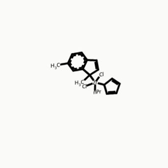 CC[CH2][Zr]([Cl])([Cl])([CH]1C=CC=C1)[C]1(C)C=Cc2ccc(C)cc21